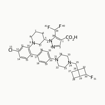 O=C(O)c1cnn(C2CCCN(c3cc(Cl)ccc3-c3ccc(N4CCN(CC56CCC5C(F)C6)CC4)cc3)C2)c1C(F)F